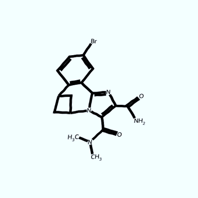 CN(C)C(=O)c1c(C(N)=O)nc2n1C1CC(C1)c1ccc(Br)cc1-2